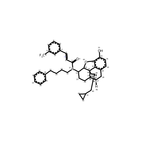 O=C(/C=C/c1cccc(C(F)(F)F)c1)N(CCCCc1ccccc1)C1CC[C@@]2(O)[C@H]3Cc4ccc(O)c5c4[C@@]2(CCN3CC2CC2)C1O5